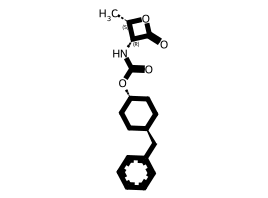 C[C@@H]1OC(=O)[C@@H]1NC(=O)O[C@H]1CC[C@H](Cc2ccccc2)CC1